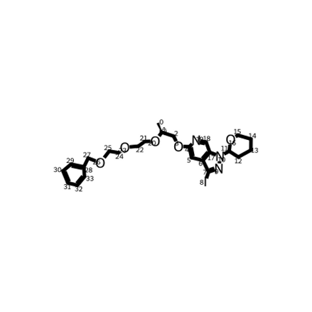 C[C@@H](COc1cc2c(I)nn(C3CCCCO3)c2cn1)OCCOCCOCc1ccccc1